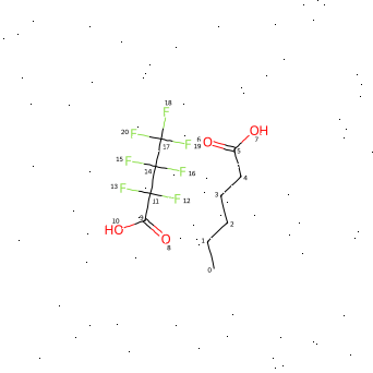 CCCCCC(=O)O.O=C(O)C(F)(F)C(F)(F)C(F)(F)F